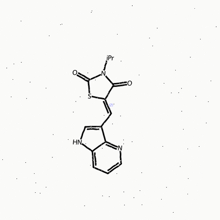 CC(C)N1C(=O)S/C(=C\c2c[nH]c3cccnc23)C1=O